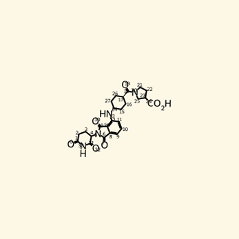 O=C1CCC(N2C(=O)c3cccc(N[C@H]4CC[C@H](C(=O)N5CCC(C(=O)O)C5)CC4)c3C2=O)C(=O)N1